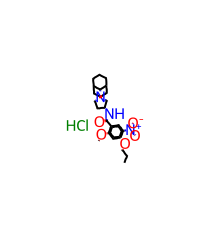 CCCOc1cc(OC)c(C(=O)NC2CCN(C3C4CCCC3CCC4)C2)cc1[N+](=O)[O-].Cl